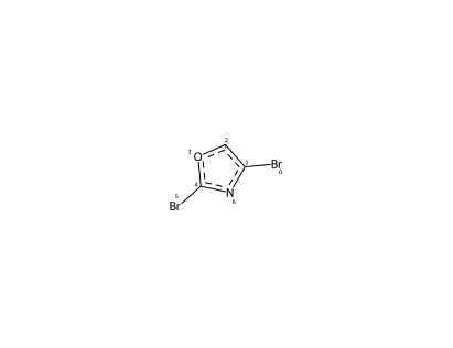 Brc1[c]oc(Br)n1